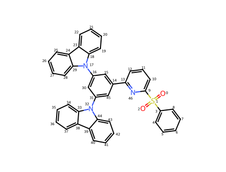 O=S(=O)(c1ccccc1)c1cccc(-c2cc(-n3c4ccccc4c4ccccc43)cc(-n3c4ccccc4c4ccccc43)c2)n1